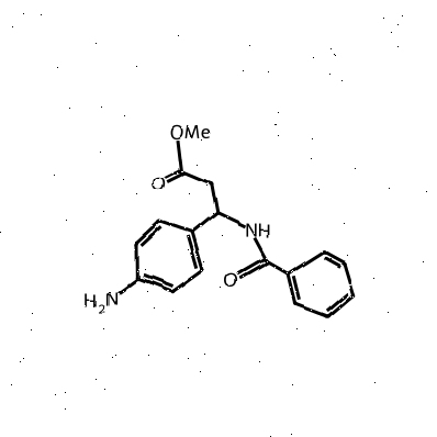 COC(=O)CC(NC(=O)c1ccccc1)c1ccc(N)cc1